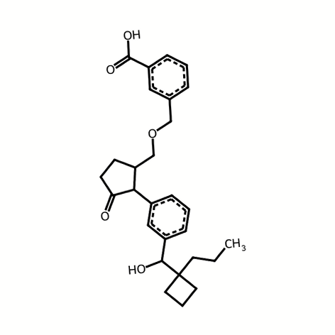 CCCC1(C(O)c2cccc(C3C(=O)CCC3COCc3cccc(C(=O)O)c3)c2)CCC1